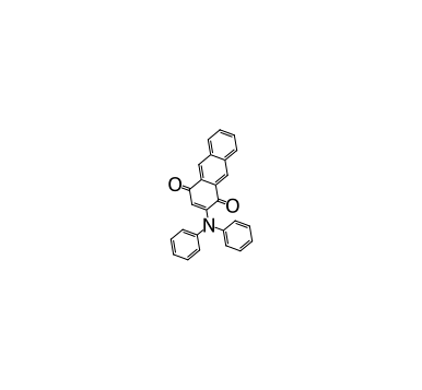 O=C1C=C(N(c2ccccc2)c2ccccc2)C(=O)c2cc3ccccc3cc21